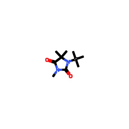 CN1C(=O)N([Si](C)(C)C)C(C)(C)C1=O